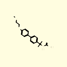 COCCOc1ccc(-c2ccc(C(C)(C)NC(=O)O)cc2)cc1